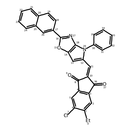 CCc1cc2c(cc1Cl)C(=O)/C(=C\c1cc3oc(-c4ccc5ccccc5c4)nc3n1-c1ccccc1)C2=O